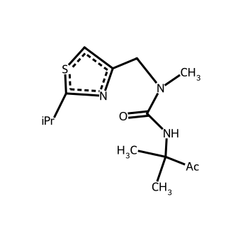 CC(=O)C(C)(C)NC(=O)N(C)Cc1csc(C(C)C)n1